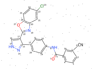 N#Cc1cccc(C(=O)Nc2ccc(-c3n[nH]cc3-c3nc4cc(Cl)ccc4o3)cc2)c1